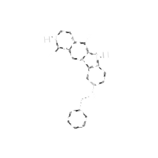 Cc1c2cc[nH]c(=O)c2cc2c1[nH]c1ccc(OCc3ccccc3)cc12